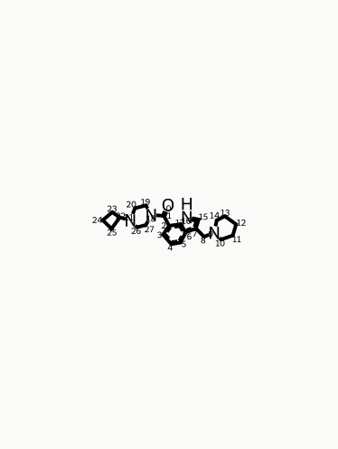 O=C(c1cccc2c(CN3CCCCC3)c[nH]c12)N1CCN(C2CCC2)CC1